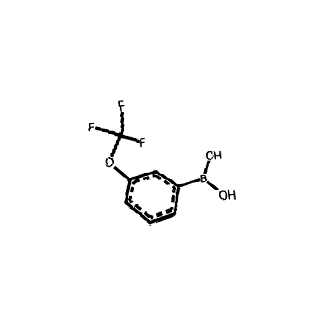 OB(O)c1c[c]cc(OC(F)(F)F)c1